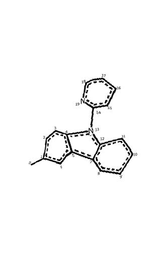 Cc1ccc2c(c1)c1ccccc1n2-c1ccccn1